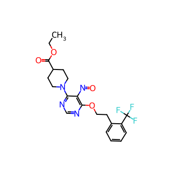 CCOC(=O)C1CCN(c2ncnc(OCCc3ccccc3C(F)(F)F)c2N=O)CC1